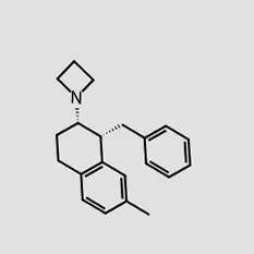 Cc1ccc2c(c1)[C@@H](Cc1ccccc1)[C@@H](N1CCC1)CC2